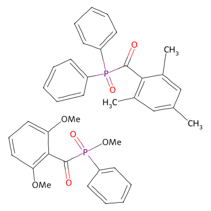 COc1cccc(OC)c1C(=O)P(=O)(OC)c1ccccc1.Cc1cc(C)c(C(=O)P(=O)(c2ccccc2)c2ccccc2)c(C)c1